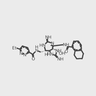 CCc1ccc(C(=O)NC[C@@H]2NC(=N)N3CC(NC(=O)c4cccc5c4CCCC5)[C@@H](O)[C@@]34NC(=N)N[C@@H]24)nn1